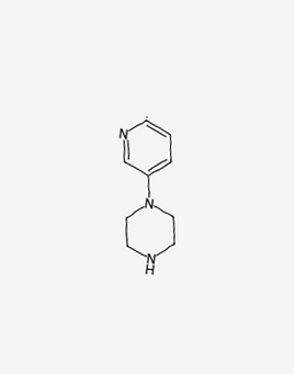 [c]1ccc(N2CCNCC2)cn1